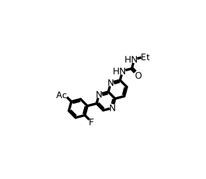 CCNC(=O)Nc1ccc2ncc(-c3cc(C(C)=O)ccc3F)nc2n1